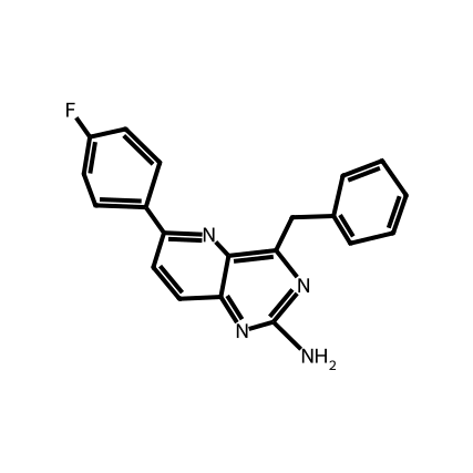 Nc1nc(Cc2ccccc2)c2nc(-c3ccc(F)cc3)ccc2n1